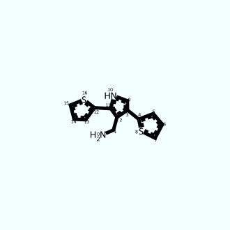 NCc1c(-c2cccs2)c[nH]c1-c1cccs1